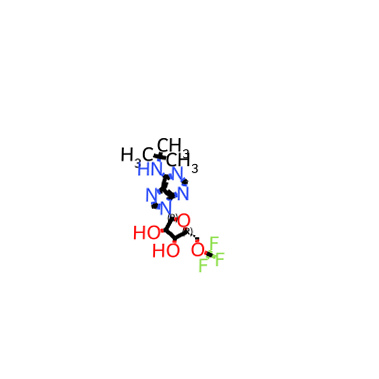 CC(C)(C)Nc1ncnc2c1ncn2[C@@H]1O[C@H](COC(F)(F)F)C(O)C1O